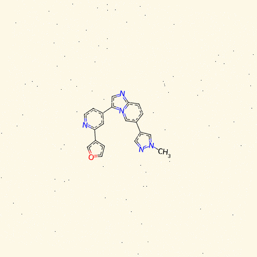 Cn1cc(-c2ccc3ncc(-c4ccnc(-c5ccoc5)c4)n3c2)cn1